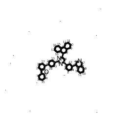 c1cc(-c2cc(-c3cc4ccccc4c4ccccc34)nc(-c3ccc(-c4cccc5c4oc4ccccc45)cc3)n2)cc(-c2cncc3ccccc23)c1